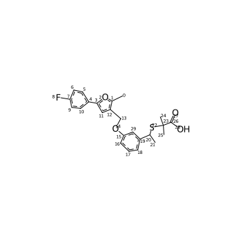 Cc1oc(-c2ccc(F)cc2)cc1COc1cccc(C(C)SC(C)(C)C(=O)O)c1